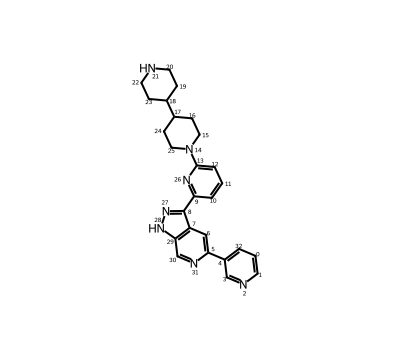 c1cncc(-c2cc3c(-c4cccc(N5CCC(C6CCNCC6)CC5)n4)n[nH]c3cn2)c1